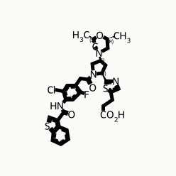 C[C@@H]1CN([C@H]2C[C@@H](c3ncc(CCC(=O)O)s3)N(C(=O)Cc3cc(Cl)c(NC(=O)c4csc5ccccc45)cc3F)C2)C[C@H](C)O1